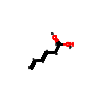 C=CC=CCC(=O)O